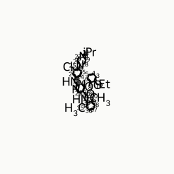 CCOc1ccccc1Oc1nc(Nc2ccc(N3CCN(C(C)C)CC3)c(Cl)c2)ncc1C(=O)Nc1c(C)cccc1C